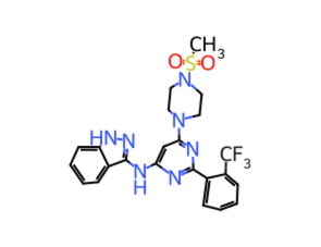 CS(=O)(=O)N1CCN(c2cc(Nc3n[nH]c4ccccc34)nc(-c3ccccc3C(F)(F)F)n2)CC1